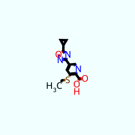 CCSc1cc(-c2noc(C3CC3)n2)cnc1C(=O)O